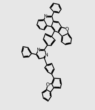 c1ccc(-c2cc(-c3ccc(-c4cccc5c4oc4ccccc45)cc3)nc(-c3ccc(-c4c5c(cc6c(-c7ccccc7)nc7ccccc7c46)oc4ccccc45)cc3)n2)cc1